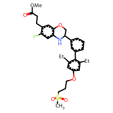 CCc1cc(OCCCS(C)(=O)=O)cc(CC)c1-c1cccc(C2COc3cc(CCC(=O)OC)c(F)cc3N2)c1